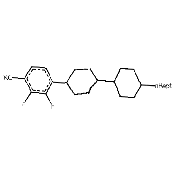 CCCCCCCC1CCC(C2CCC(c3ccc(C#N)c(F)c3F)CC2)CC1